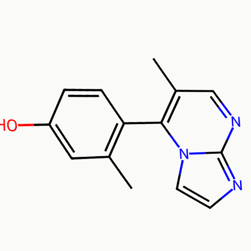 Cc1cc(O)ccc1-c1c(C)cnc2nccn12